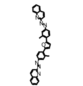 Cc1cc(/N=N/c2ccc3ccccc3n2)ccc1-c1ccc(-c2ccc(/N=N/c3ccc4ccccc4n3)cc2C)o1